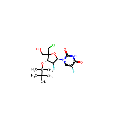 CC(C)(C)[Si](C)(C)O[C@H]1[C@H](F)[C@H](n2cc(F)c(=O)[nH]c2=O)O[C@@]1(CO)CCl